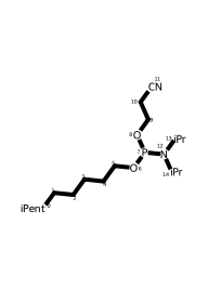 CCCC(C)CCCCCOP(OCCC#N)N(C(C)C)C(C)C